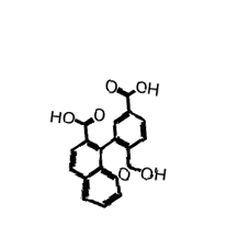 O=C(O)c1ccc(C(=O)O)c(-c2c(C(=O)O)ccc3ccccc23)c1